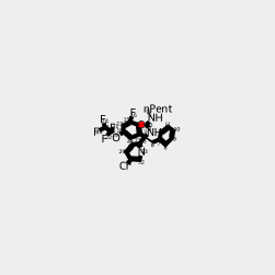 CCCCCNC(=O)N[C@@](Cc1ccccc1)(c1cc(F)cc(OC(F)(F)C(F)F)c1)c1ccc(Cl)cn1